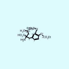 CCOC(=O)Oc1ccc(CC(N)(C[C@H](C)OC(C)=O)C(=O)O)cc1OC(=O)OCC